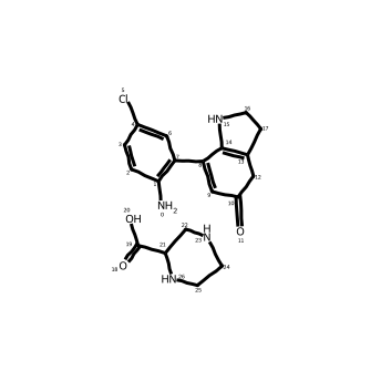 Nc1ccc(Cl)cc1C1=CC(=O)CC2=C1NCC2.O=C(O)C1CNCCN1